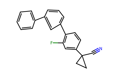 N#CC1(c2ccc(-c3cccc(-c4ccccc4)c3)c(F)c2)CC1